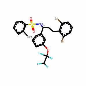 O=[N+]([O-])c1ccccc1S(=O)(=O)N[C@@H](CCc1c(Br)cccc1Br)c1cccc(OC(F)(F)C(F)F)c1